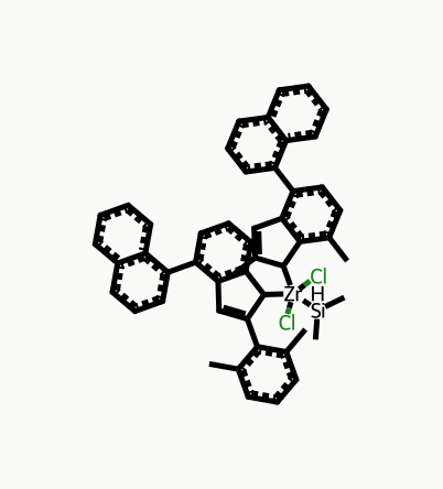 CC1=Cc2c(-c3cccc4ccccc34)ccc(C)c2[CH]1[Zr]([Cl])([Cl])([CH]1C(c2c(C)cccc2C)=Cc2c(-c3cccc4ccccc34)cccc21)[SiH](C)C